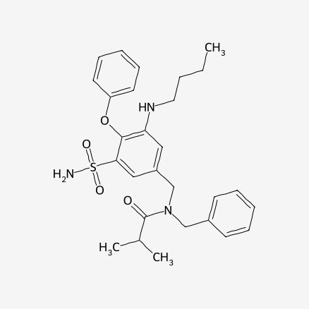 CCCCNc1cc(CN(Cc2ccccc2)C(=O)C(C)C)cc(S(N)(=O)=O)c1Oc1ccccc1